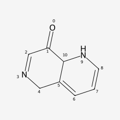 O=C1C=NCC2=CC=CNC12